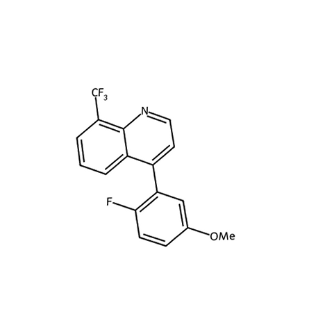 COc1ccc(F)c(-c2ccnc3c(C(F)(F)F)cccc23)c1